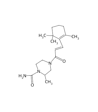 CC1=C(C=CC(=O)N2CCN(C(N)=O)C(C)C2)C(C)(C)CCC1